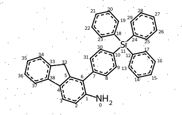 Nc1ccc2c(c1-c1ccc([Si](c3ccccc3)(c3ccccc3)c3ccccc3)cc1)Cc1ccccc1-2